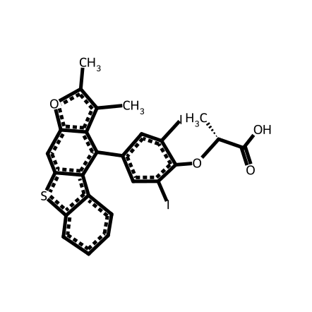 Cc1oc2cc3sc4ccccc4c3c(-c3cc(I)c(O[C@H](C)C(=O)O)c(I)c3)c2c1C